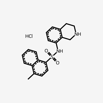 Cc1ccc(S(=O)(=O)Nc2cccc3c2CNCC3)c2ccccc12.Cl